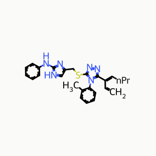 C=C/C(=C\CCC)c1nnc(SCc2c[nH]c(Nc3ccccc3)n2)n1-c1ccccc1C